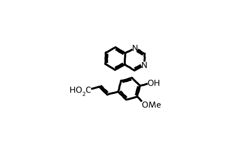 COc1cc(C=CC(=O)O)ccc1O.c1ccc2ncncc2c1